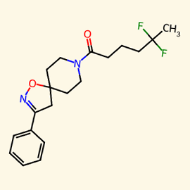 CC(F)(F)CCCC(=O)N1CCC2(CC1)CC(c1ccccc1)=NO2